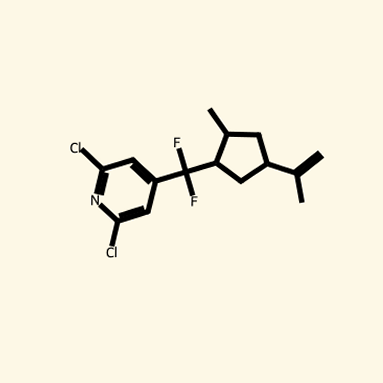 C=C(C)C1CC(C)C(C(F)(F)c2cc(Cl)nc(Cl)c2)C1